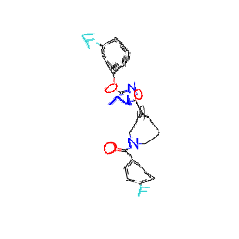 O=C(c1ccc(F)cc1)N1CCC[C@H](c2nc(Oc3cccc(F)c3)no2)C1